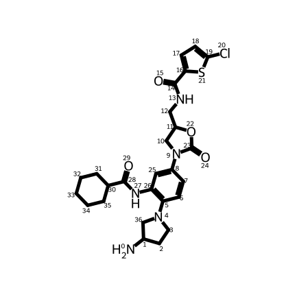 NC1CCN(c2ccc(N3CC(CNC(=O)c4ccc(Cl)s4)OC3=O)cc2NC(=O)C2CCCCC2)C1